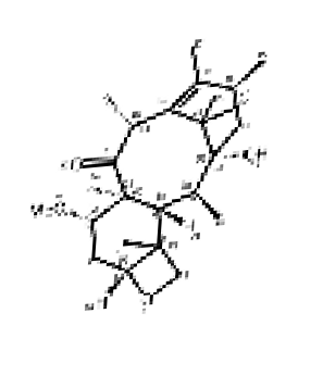 CO[C@H]1C[C@H]2OC[C@@]2(C)[C@H]2[C@H](C)[C@]3(O)C[C@H](C)C(C)=C([C@@H](C)C(=O)[C@]12C)C3(C)C